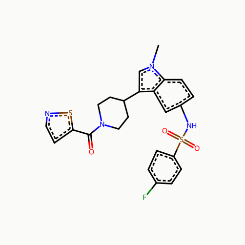 Cn1cc(C2CCN(C(=O)c3ccns3)CC2)c2cc(NS(=O)(=O)c3ccc(F)cc3)ccc21